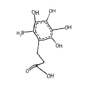 Bc1c(O)c(O)c(O)c(O)c1CCC(=O)O